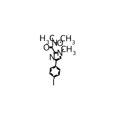 CON(C)C(=O)c1nc(-c2ccc(I)cc2)cn1C